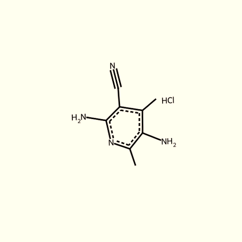 Cc1nc(N)c(C#N)c(C)c1N.Cl